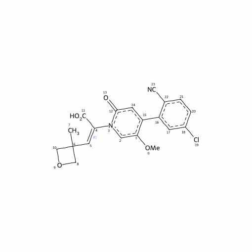 COc1cn(/C(=C/C2(C)COC2)C(=O)O)c(=O)cc1-c1cc(Cl)ccc1C#N